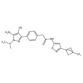 CC(n1nc(-c2ccc(CC(=O)Nc3cc(C45CC(C(F)(F)F)(C4)C5)no3)cc2)c(C#N)c1N)C(F)(F)F